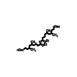 CCCCCCCCCCCCC(C)CC(C)CCCC(OCC)OC(CCCC(C)CC(C)CCCCCCCCCCCC)OCC